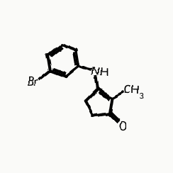 CC1=C(Nc2cccc(Br)c2)CCC1=O